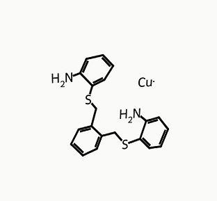 Nc1ccccc1SCc1ccccc1CSc1ccccc1N.[Cu]